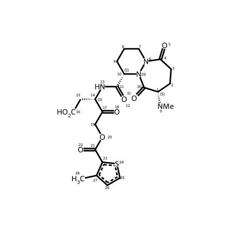 CN[C@H]1CCC(=O)N2CCC[C@@H](C(=O)N[C@@H](CC(=O)O)C(=O)COC(=O)c3sccc3C)N2C1=O